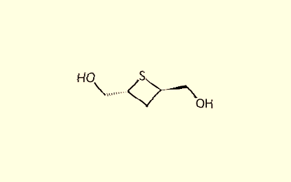 OC[C@H]1C[C@H](CO)S1